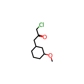 COC1CCCC(CC(=O)CCl)C1